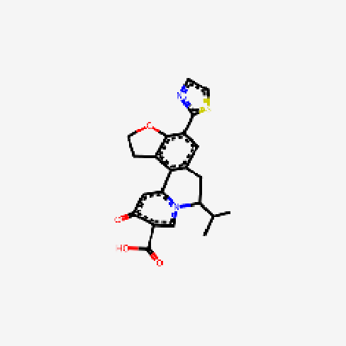 CC(C)C1Cc2cc(-c3nccs3)c3c(c2-c2cc(=O)c(C(=O)O)cn21)CCO3